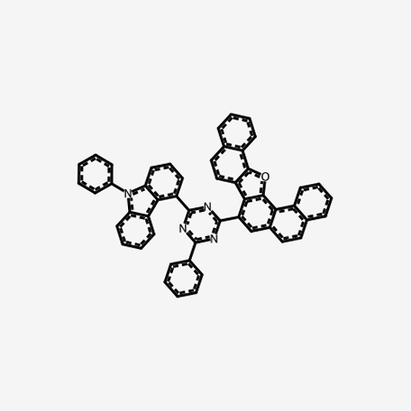 c1ccc(-c2nc(-c3cc4ccc5ccccc5c4c4oc5c6ccccc6ccc5c34)nc(-c3cccc4c3c3ccccc3n4-c3ccccc3)n2)cc1